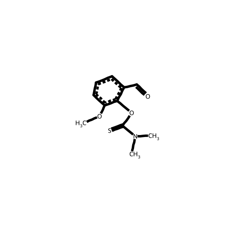 COc1cccc(C=O)c1OC(=S)N(C)C